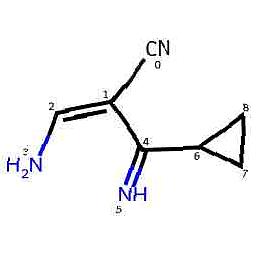 N#C/C(=C/N)C(=N)C1CC1